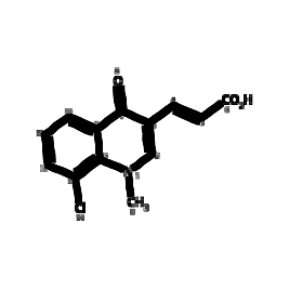 Cn1cc(C=CC(=O)O)c(=O)c2cccc(Cl)c21